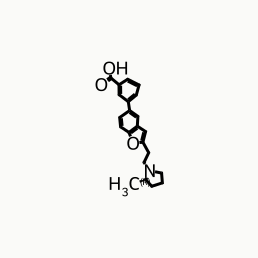 C[C@@H]1CCCN1CCc1cc2cc(-c3cccc(C(=O)O)c3)ccc2o1